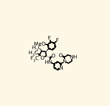 COc1c([C@H]2[C@H](C(=O)Nc3ccnc(N4CCNCC4=O)c3)O[C@@](C)(C(F)(F)F)[C@H]2C)ccc(F)c1F